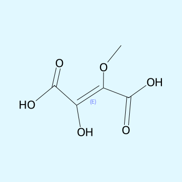 CO/C(C(=O)O)=C(/O)C(=O)O